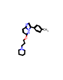 Cc1ccc(-c2cnc3ccc(OCCCN4CCCCC4)nn23)cc1